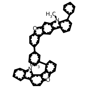 Cn1c2cc3oc4ccc(-c5cccc(-c6cccc7oc8ccc9c%10ccccc%10n(C)c9c8c67)c5)cc4c3cc2c2cccc(-c3ccccc3)c21